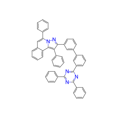 c1ccc(-c2nc(-c3ccccc3)nc(-c3cccc(-c4cccc(-c5nn6c(-c7ccccc7)cc7ccccc7c6c5-c5ccccc5)c4)c3)n2)cc1